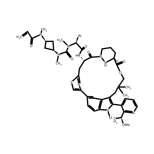 C=CC(=O)N(C)[C@H]1C[C@@H](N(C)C(=O)N(C)[C@H](C(=O)N[C@H]2Cc3nc(cs3)-c3ccc4c(c3)c(c(-c3cccnc3[C@H](C)OC)n4CC)CC(C)(C)COC(=O)[C@@H]3CCCN(N3)C2=O)C(C)C)C1